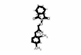 Cc1ccc(CC(N)CON2C(=O)c3ccccc3C2=O)c(C)c1